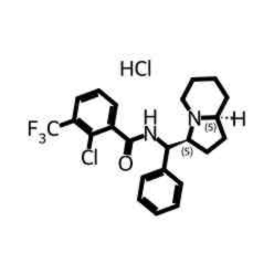 Cl.O=C(NC(c1ccccc1)[C@@H]1CC[C@@H]2CCCCN21)c1cccc(C(F)(F)F)c1Cl